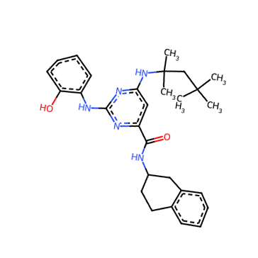 CC(C)(C)CC(C)(C)Nc1cc(C(=O)NC2CCc3ccccc3C2)nc(Nc2ccccc2O)n1